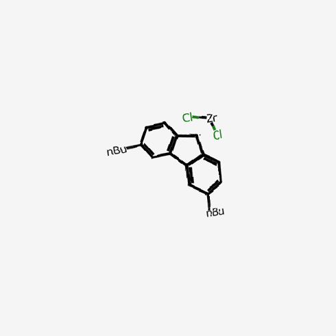 CCCCc1ccc2c(c1)-c1cc(CCCC)ccc1[CH]2.[Cl][Zr][Cl]